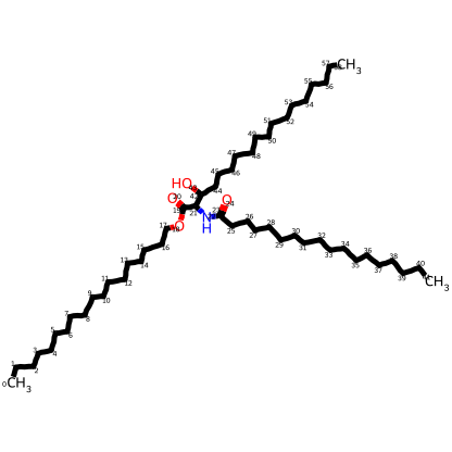 CCCCCCCCCCCCCCCCCCOC(=O)C(NC(=O)CCCCCCCCCCCCCCCCC)C(O)CCCCCCCCCCCCCCC